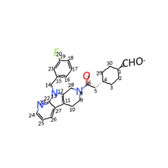 O=[C][C@H]1CC[C@H](CC(=O)N2CCc3c(n(Cc4cccc(F)c4)c4ncccc34)C2)CC1